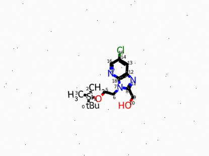 CC(C)(C)[Si](C)(C)OCCn1c(CO)nc2cc(Cl)cnc21